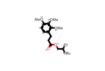 CCCCC(CC)COC(=O)CCc1ccc(OC)c(OC)c1OC